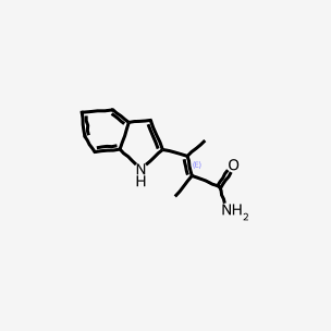 C/C(C(N)=O)=C(/C)c1cc2ccccc2[nH]1